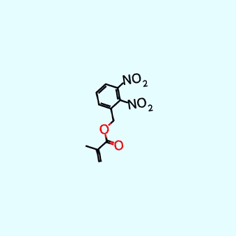 C=C(C)C(=O)OCc1cccc([N+](=O)[O-])c1[N+](=O)[O-]